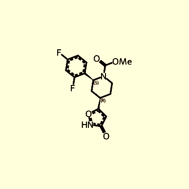 COC(=O)N1CC[C@@H](c2cc(=O)[nH]o2)C[C@H]1c1ccc(F)cc1F